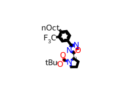 CCCCCCCCc1ccc(-c2noc([C@@H]3CCCN3C(=O)OC(C)(C)C)n2)cc1C(F)(F)F